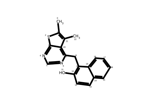 Cc1sc2ncnc(Cc3c(O)ccc4ccccc34)c2c1C